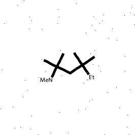 CCC(C)(C)CC(C)(C)NC